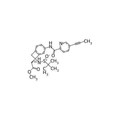 CC#Cc1ccc(C(=O)Nc2ccc3c(c2)[C@](CC(=O)OC)(N[S+]([O-])C(C)(C)C)C3)nc1